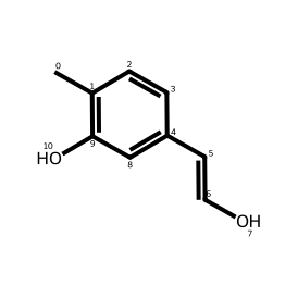 Cc1ccc(C=CO)cc1O